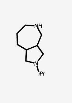 CC(C)N1CC2CCCNCC2C1